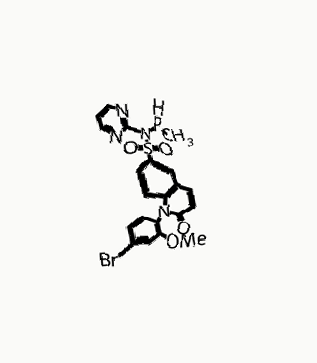 COc1cc(Br)ccc1-n1c(=O)ccc2cc(S(=O)(=O)N(PC)c3ncccn3)ccc21